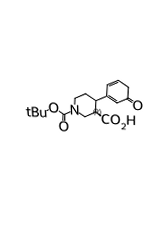 CC(C)(C)OC(=O)N1CCC(C2=CC(=O)CC=C2)[C@@H](C(=O)O)C1